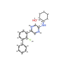 O[C@@H]1CCCC[C@H]1Nc1cnc(-c2cccc(-c3ccccc3)c2F)cn1